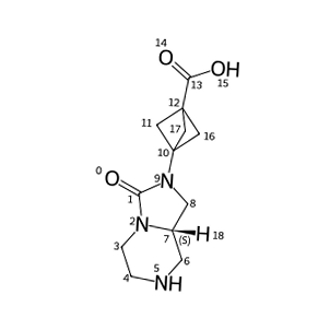 O=C1N2CCNC[C@H]2CN1C12CC(C(=O)O)(C1)C2